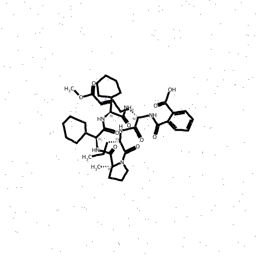 CCC[C@H](NC(=O)[C@H](CC/C=C/C(=O)OC)NC(=O)c1ccccc1C(=O)O)C(=O)N1CCC[C@@]1(C)C(=O)N[C@H](C(=O)N[C@H](C(N)=O)C1CCCCC1)C1CCCCC1